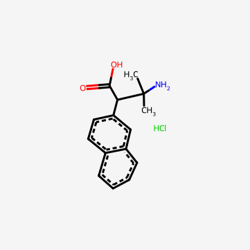 CC(C)(N)C(C(=O)O)c1ccc2ccccc2c1.Cl